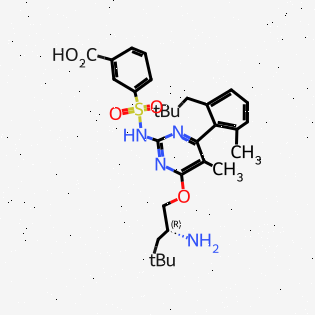 Cc1cccc(CC(C)(C)C)c1-c1nc(NS(=O)(=O)c2cccc(C(=O)O)c2)nc(OC[C@H](N)CC(C)(C)C)c1C